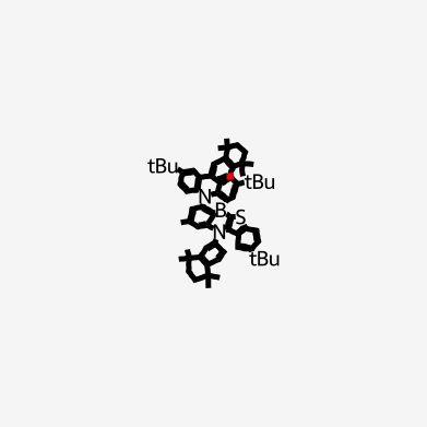 Cc1cc2c3c(c1)N(c1ccc4c(c1)C(C)(C)CCC4(C)C)c1c(sc4ccc(C(C)(C)C)cc14)B3c1cc(C(C)(C)C)ccc1N2c1ccc(C(C)(C)C)cc1-c1ccc2c(c1)C(C)(C)CCC2(C)C